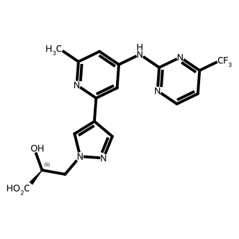 Cc1cc(Nc2nccc(C(F)(F)F)n2)cc(-c2cnn(C[C@H](O)C(=O)O)c2)n1